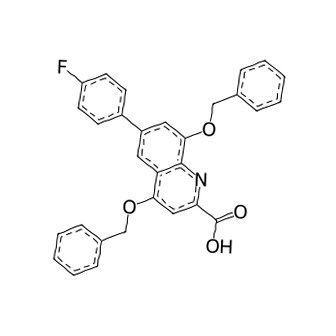 O=C(O)c1cc(OCc2ccccc2)c2cc(-c3ccc(F)cc3)cc(OCc3ccccc3)c2n1